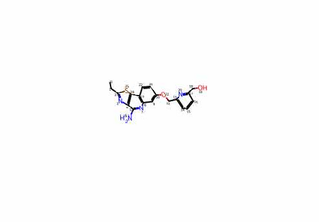 CCc1nc2c(N)nc3cc(OCc4cccc(CO)n4)ccc3c2s1